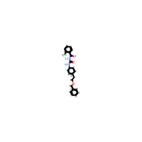 O=C(NC(=O)c1ccccc1Cl)Nc1ccc(CCOCc2ccccc2)cc1